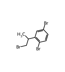 CC(CBr)c1cc(Br)ccc1Br